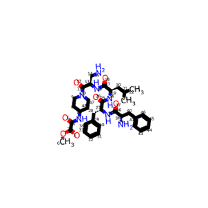 COC(=O)C(=O)NC1CCN(C(=O)[C@@H](CN)NC(=O)[C@@H](CC(C)C)NC(=O)[C@@H](Cc2ccccc2)NC(=O)[C@H](N)Cc2ccccc2)CC1